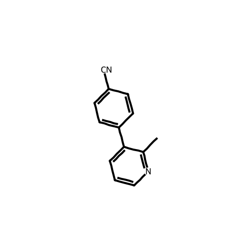 Cc1ncccc1-c1ccc(C#N)cc1